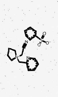 N#CC[N+]1(Cc2ccccn2)CCCC1.O=S(=O)([O-])c1ccccc1